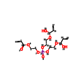 C=CC(=O)OCCOP(=O)(OCCOC(O)C=C)OCCOC(O)C=C